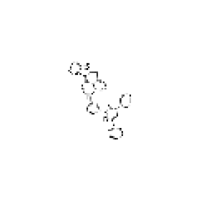 C1=CN(c2cccc(-c3nc(-c4ccccc4)cc(-c4ccccc4)n3)c2)c2cccc3cc4sc5ccccc5c4c1c23